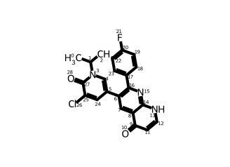 CC(C)n1cc(-c2cc3c(=O)cc[nH]c3nc2-c2ccc(F)cc2)cc(Cl)c1=O